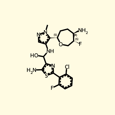 Cn1ncc(NC(O)c2nc(-c3c(F)cccc3Cl)sc2N)c1[C@@H]1CC[C@@H](N)[C@H](F)CO1